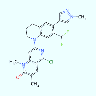 Cc1cc2c(Cl)nc(N3CCCc4cc(-c5cnn(C)c5)c(C(F)F)cc43)cc2n(C)c1=O